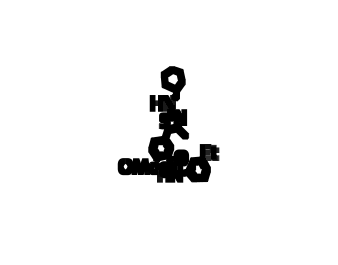 CCc1cccc(NS(=O)(=O)c2cc(-c3sc(NCC4CCCCC4)nc3C)ccc2OC)c1